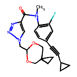 CN(C(=O)c1cn(CC2OCC3(CC3)CO2)nn1)c1ccc(C#CC2CC2)cc1F